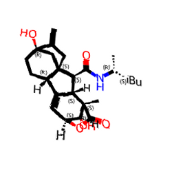 C=C1C[C@]23C[C@]1(O)CC[C@H]2C1=C[C@@H]2OC(=O)[C@@](C)([C@H]1[C@@H]3C(=O)N[C@H](C)[C@@H](C)CC)[C@H]2O